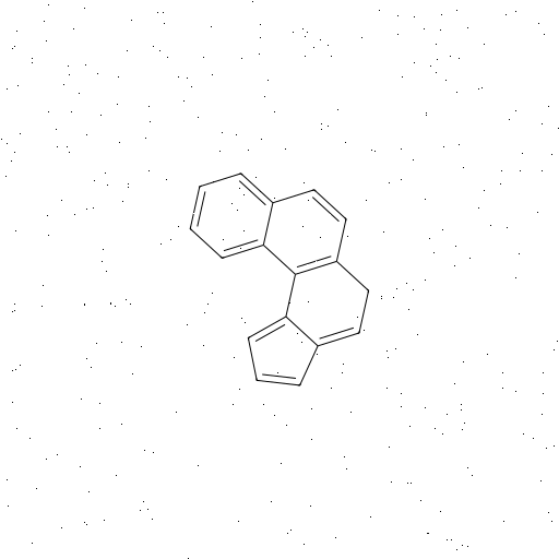 C1=CC2=CCc3ccc4ccccc4c3C2=C1